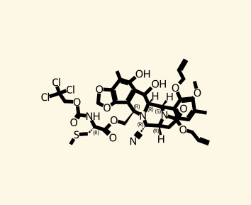 C=CCOC(=O)N1[C@@H]2Cc3cc(C)c(OC)c(OCC=C)c3[C@H]1[C@@H]1C(O)c3c(O)c(C)c4c(c3[C@H](COC(=O)[C@H](CSC)NC(=O)OCC(Cl)(Cl)Cl)N1[C@H]2C#N)OCO4